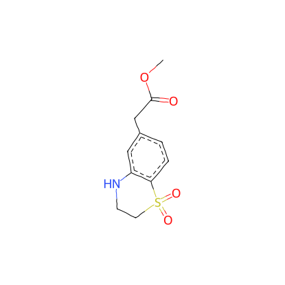 COC(=O)Cc1ccc2c(c1)NCCS2(=O)=O